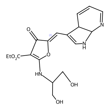 CCOC(=O)C1=C(NC(CO)CO)O/C(=C\C2=CNC3N=CC=CC23)C1=O